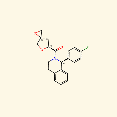 O=C([C@@H]1C[C@@]2(CO1)CO2)N1CCc2ccccc2[C@@H]1c1ccc(F)cc1